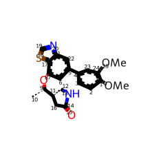 COc1ccc(-c2cc(O[C@@H](C)[C@@H]3CNC(=O)C3)c3scnc3c2)cc1OC